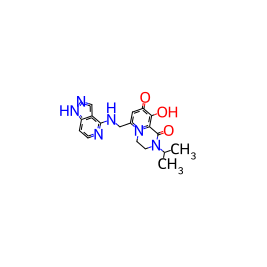 CC(C)N1CCn2c(CNc3nccc4[nH]ncc34)cc(=O)c(O)c2C1=O